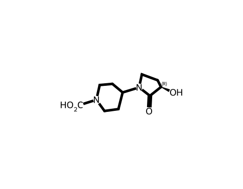 O=C(O)N1CCC(N2CC[C@@H](O)C2=O)CC1